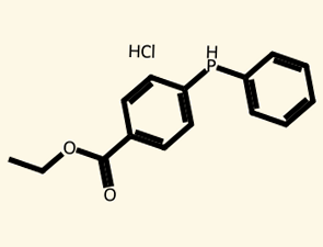 CCOC(=O)c1ccc(Pc2ccccc2)cc1.Cl